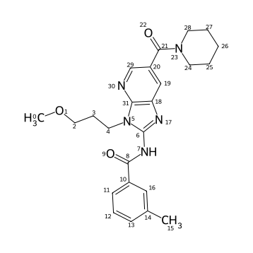 COCCCn1c(NC(=O)c2cccc(C)c2)nc2cc(C(=O)N3CCCCC3)cnc21